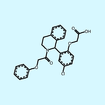 O=C(O)COc1ccc(Cl)cc1C1c2ccccc2CCN1C(=O)COc1ccccc1